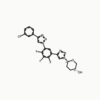 O[C@@H]1CC[C@@H](n2cc(-c3cc(-n4cc(-c5cccc(Cl)c5)nn4)c(F)c(F)c3F)nn2)OC1